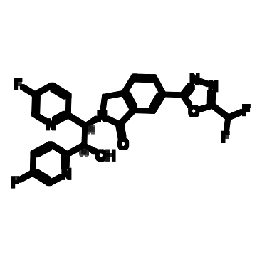 O=C1c2cc(-c3nnc(C(F)F)o3)ccc2CN1[C@H](c1ccc(F)cn1)[C@@H](O)c1ccc(F)cn1